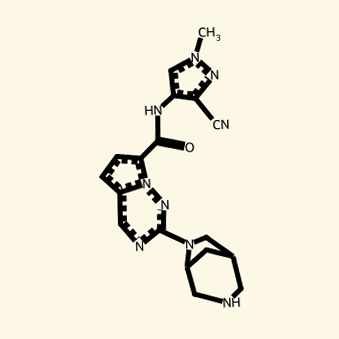 Cn1cc(NC(=O)c2ccc3cnc(N4CC5CNCC4C5)nn23)c(C#N)n1